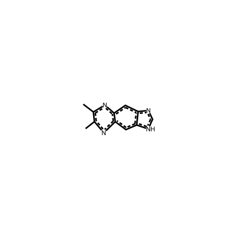 Cc1nc2cc3nc[nH]c3cc2nc1C